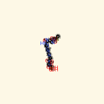 COc1ncc(-c2ccnc(N3CCc4c(sc5c4CCCC5)C3=O)c2C(C)O)cc1Nc1ccc(N2CCN(C3CCN(c4ccc5c(c4)C(=O)N(C4CCC(=O)N(C(C)OP(=O)(O)O)C4=O)C5=O)CC3)C[C@@H]2C)cn1